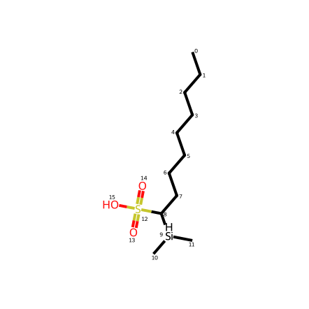 CCCCCCCCC([SiH](C)C)S(=O)(=O)O